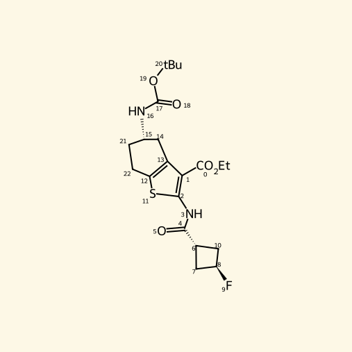 CCOC(=O)c1c(NC(=O)[C@H]2C[C@H](F)C2)sc2c1C[C@@H](NC(=O)OC(C)(C)C)CC2